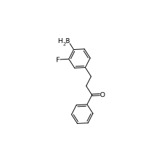 Bc1ccc(CCC(=O)c2ccccc2)cc1F